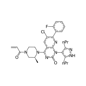 C=CC(=O)N1CCN(c2nc(=O)n(-c3c(CCC)n[nH]c3CCC)c3nc(-c4ccccc4F)c(Cl)cc23)[C@@H](C)C1